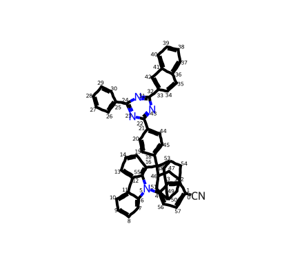 N#Cc1ccc(-n2c3ccccc3c3cccc(C4(c5ccc(-c6nc(-c7ccccc7)nc(-c7ccc8ccccc8c7)n6)cc5)C5CC6CC(C5)CC4C6)c32)cc1